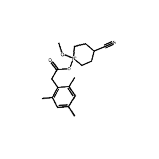 CO[N+]1(OC(=O)Cc2c(C)cc(C)cc2C)CCC(C#N)CC1